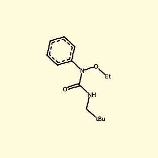 CCON(C(=O)NCC(C)(C)C)c1ccccc1